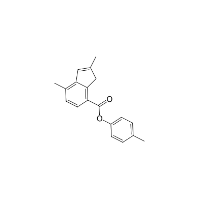 CC1=Cc2c(C)ccc(C(=O)Oc3ccc(C)cc3)c2C1